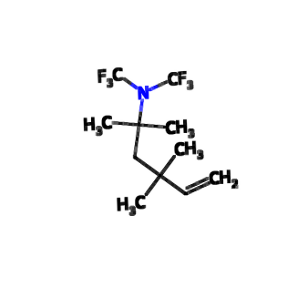 C=CC(C)(C)CC(C)(C)N(C(F)(F)F)C(F)(F)F